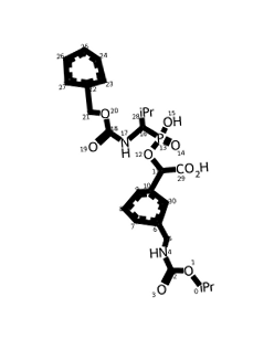 CC(C)OC(=O)NCc1cccc(C(OP(=O)(O)C(NC(=O)OCc2ccccc2)C(C)C)C(=O)O)c1